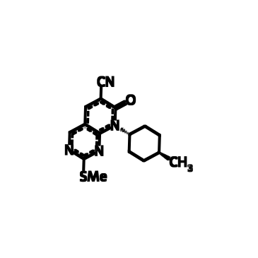 CSc1ncc2cc(C#N)c(=O)n([C@H]3CC[C@H](C)CC3)c2n1